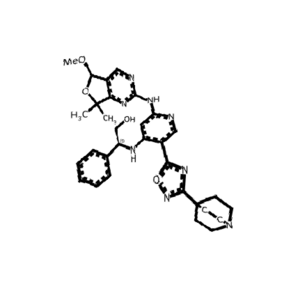 COC1OC(C)(C)c2nc(Nc3cc(N[C@H](CO)c4ccccc4)c(-c4nc(C56CCN(CC5)CC6)no4)cn3)ncc21